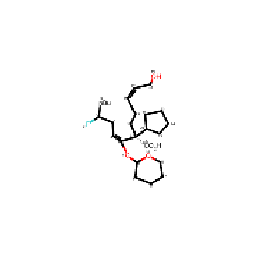 CCCCC(F)C/C=C(/OC1CCCCO1)[C@](CC/C=C\CO)(C(=O)O)C1CCCC1